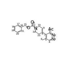 CC(=O)c1nncc(C)c1C1=CCN(C(=O)OCc2ccccc2)CC1